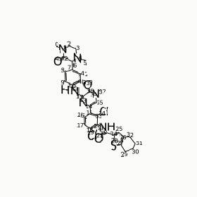 CN1CCN(C)C(c2ccc(Nc3nc(-c4ccc(Cl)c(NC(=O)c5cc6c(s5)CCCC6)c4Cl)cn(C)c3=O)cc2)C1=O